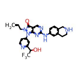 C=CCn1c(=O)c2cnc(Nc3ccc4c(c3)CCNC4)nc2n1-c1ccnc(C(O)C(F)(F)F)c1